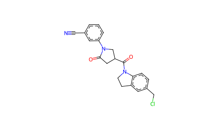 N#Cc1cccc(N2CC(C(=O)N3CCc4cc(CCl)ccc43)CC2=O)c1